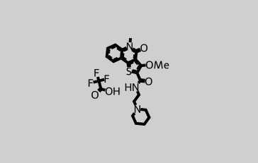 COc1c(C(=O)NCCN2CCCCC2)sc2c1c(=O)n(C)c1ccccc21.O=C(O)C(F)(F)F